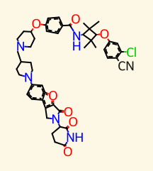 CC1(C)[C@H](NC(=O)c2ccc(OC3CCN(CC4CCN(c5ccc6c7c(oc6c5)C(=O)N(C5CCC(=O)NC5=O)C7)CC4)CC3)cc2)C(C)(C)[C@H]1Oc1ccc(C#N)c(Cl)c1